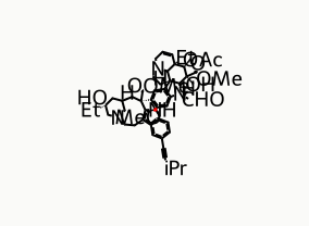 CC[C@]1(O)C[C@H]2CN(CCc3c([nH]c4ccc(C#CC(C)C)cc34)[C@@](C(=O)OC)(c3cc4c(cc3OC)N(C=O)[C@H]3[C@@](O)(C(=O)OC)[C@H](OC(C)=O)[C@]5(CC)C=CCN6CC[C@]43[C@@H]65)C2)C1